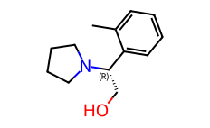 Cc1ccccc1[C@H](CO)N1CCCC1